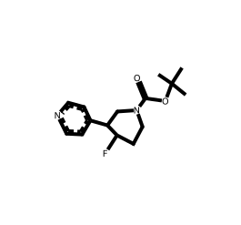 CC(C)(C)OC(=O)N1CCC(F)C(c2ccncc2)C1